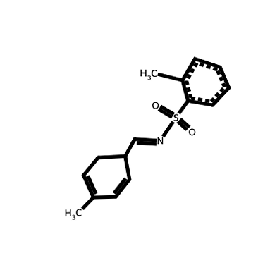 CC1=CCC(/C=N/S(=O)(=O)c2ccccc2C)C=C1